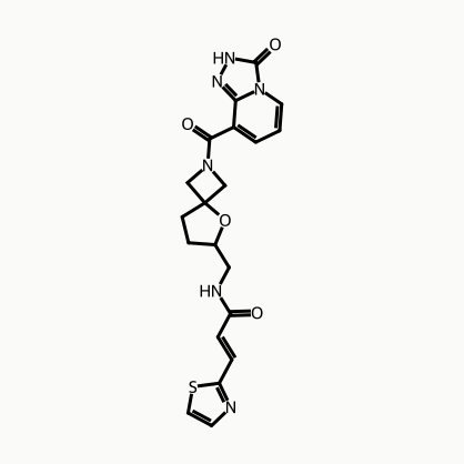 O=C(C=Cc1nccs1)NCC1CCC2(CN(C(=O)c3cccn4c(=O)[nH]nc34)C2)O1